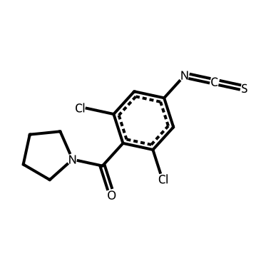 O=C(c1c(Cl)cc(N=C=S)cc1Cl)N1CCCC1